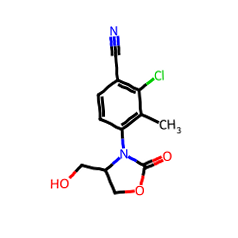 Cc1c(N2C(=O)OCC2CO)ccc(C#N)c1Cl